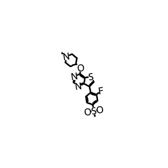 CN1CCC(Oc2ncnc3c(-c4ccc(S(C)(=O)=O)cc4F)csc23)CC1